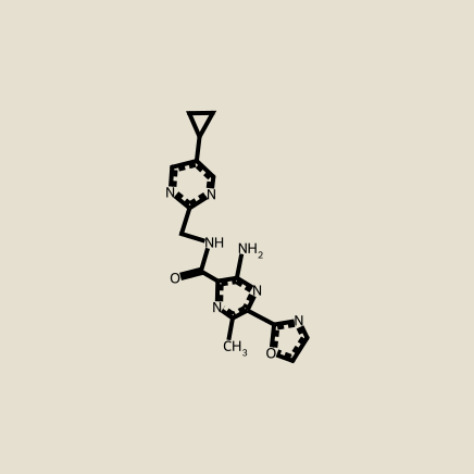 Cc1nc(C(=O)NCc2ncc(C3CC3)cn2)c(N)nc1-c1ncco1